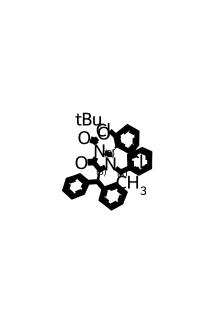 C[C@H](c1ccccc1)N1[C@@H](C(c2ccccc2)c2ccccc2)C(=O)N(C(=O)OC(C)(C)C)[C@@H]1c1c(Cl)cccc1Cl